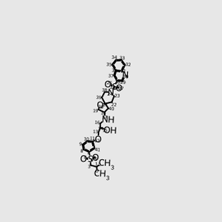 CC(C)CS(=O)(=O)c1cccc(OCC(O)CNC2COC3(CCN(S(=O)(=O)c4cnc5ccccc5c4)CC3)C2)c1